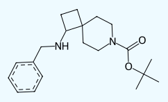 CC(C)(C)OC(=O)N1CCC2(CCC2NCc2ccccc2)CC1